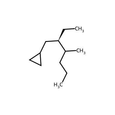 CCCC(C)[C@H](CC)CC1CC1